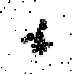 O=C(O)c1c(Cl)c(Cl)c(Cl)c(Cl)c1C(=O)Nc1ccc(Oc2cccc(C(F)(F)F)c2)nc1Oc1cccc(C(F)(F)F)c1